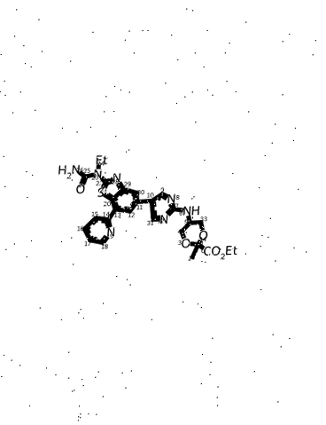 CCOC(=O)C1(C)OCC(Nc2ncc(-c3cc(-c4ccccn4)c4sc(N(CC)C(N)=O)nc4c3)cn2)CO1